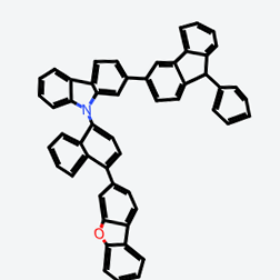 c1ccc(C2c3ccccc3-c3cc(-c4ccc5c6ccccc6n(-c6ccc(-c7ccc8c(c7)oc7ccccc78)c7ccccc67)c5c4)ccc32)cc1